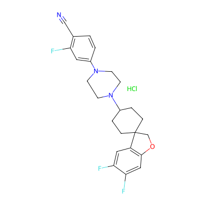 Cl.N#Cc1ccc(N2CCN(C3CCC4(CC3)COc3cc(F)c(F)cc34)CC2)cc1F